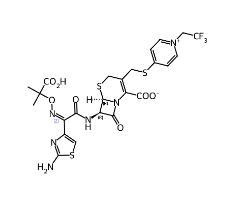 CC(C)(O/N=C(\C(=O)N[C@@H]1C(=O)N2C(C(=O)[O-])=C(CSc3cc[n+](CC(F)(F)F)cc3)CS[C@H]12)c1csc(N)n1)C(=O)O